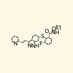 CCONC(=O)c1cccc(F)c1Sc1ccc2c(/C=C/c3ccccn3)n[nH]c2c1